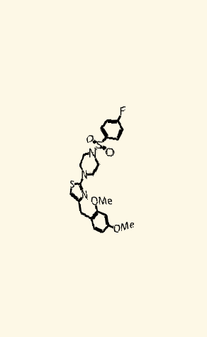 COc1ccc(Cc2csc(N3CCN(S(=O)(=O)c4ccc(F)cc4)CC3)n2)c(OC)c1